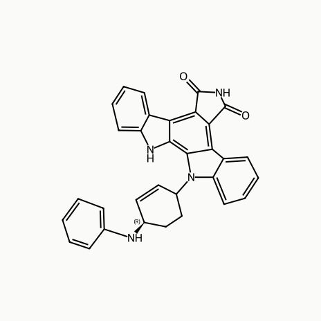 O=C1NC(=O)c2c1c1c3ccccc3[nH]c1c1c2c2ccccc2n1C1C=C[C@H](Nc2ccccc2)CC1